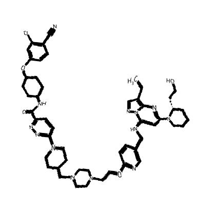 CCc1cnn2c(NCc3ccc(OCCN4CCN(CC5CCN(c6ccc(C(=O)NC7CCC(Oc8ccc(C#N)c(Cl)c8)CC7)nn6)CC5)CC4)nc3)cc(N3CCCC[C@H]3CCO)nc12